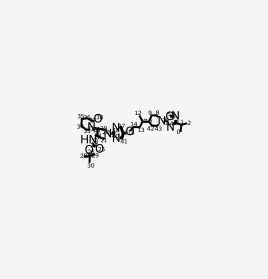 CC(C)c1noc(N2CCC(C(C)CCOc3cnc(N4C[C@H](NC(=O)OC(C)(C)C)[C@@H](N5CCCCC5=O)C4)nc3)CC2)n1